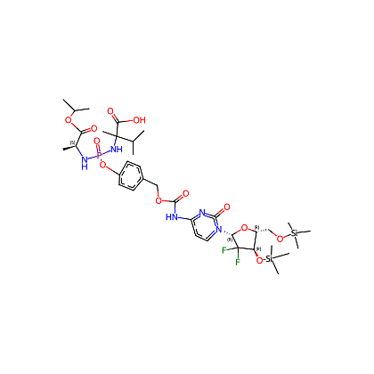 CC(C)OC(=O)[C@H](C)NP(=O)(NC(C)(C(=O)O)C(C)C)Oc1ccc(COC(=O)Nc2ccn([C@@H]3O[C@H](CO[Si](C)(C)C)[C@@H](O[Si](C)(C)C)C3(F)F)c(=O)n2)cc1